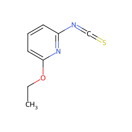 CCOc1cccc(N=C=S)n1